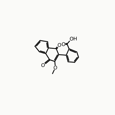 COC1=C(c2ccccc2C(=O)O)C(=O)c2ccccc2C1=O